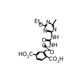 CCOc1nc(C)nc(NC(=O)NS(=O)(=O)c2cc(C(=O)O)ccc2C(=O)O)n1